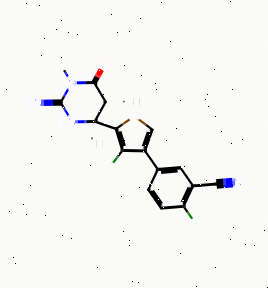 C[C@H]1C(=O)N(C)C(=N)N[C@]1(C)c1scc(-c2ccc(F)c(C#N)c2)c1F